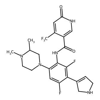 CC1CN(c2cc(F)c(C3=CCNC3)c(F)c2NC(=O)c2c[nH]c(=O)cc2C(F)(F)F)CCN1C